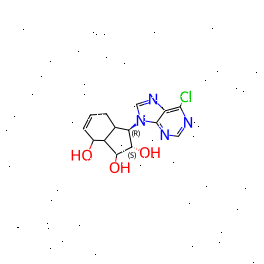 OC1C=CCC2C1C(O)[C@@H](O)[C@@H]2n1cnc2c(Cl)ncnc21